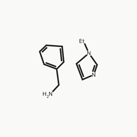 CCn1ccnc1.NCc1ccccc1